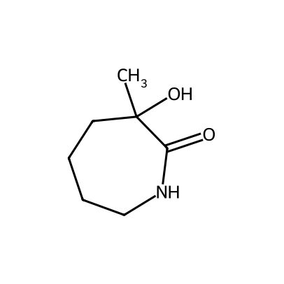 CC1(O)CCCCNC1=O